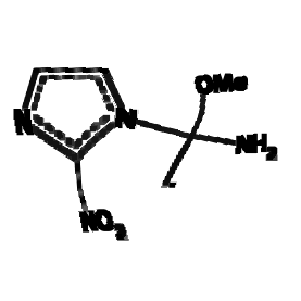 [CH2]C(N)(OC)n1ccnc1[N+](=O)[O-]